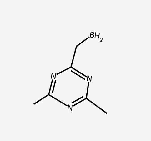 BCc1nc(C)nc(C)n1